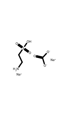 NCCS(=O)(=O)O.O=C([O-])[O-].[Na+].[Na+]